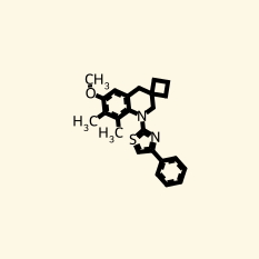 COc1cc2c(c(C)c1C)N(c1nc(-c3ccccc3)cs1)CC1(CCC1)C2